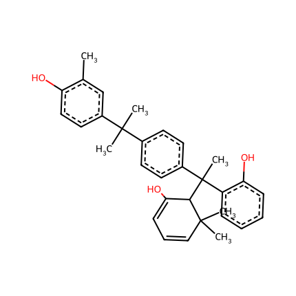 Cc1cc(C(C)(C)c2ccc(C(C)(c3ccccc3O)C3C(O)=CC=CC3(C)C)cc2)ccc1O